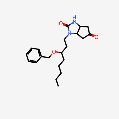 CCCCCC(CCN1C(=O)NC2CC(=O)CC21)OCc1ccccc1